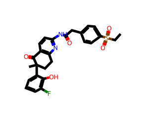 CCS(=O)(=O)c1ccc(CC(=O)Nc2ccc3c(n2)CCC(C)(c2cccc(F)c2O)C3=O)cc1